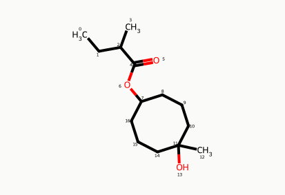 CCC(C)C(=O)OC1CCCC(C)(O)CCC1